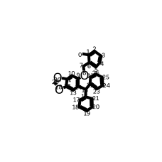 Cc1ccccc1COc1cc2c(cc1C(c1ccccc1)c1ccccc1)OCO2